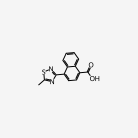 Cc1nc(-c2ccc(C(=O)O)c3ccccc23)ns1